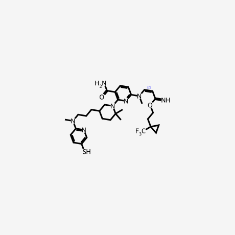 CN(/C=C\C(=N)OCCC1(C(F)(F)F)CC1)c1ccc(C(N)=O)c(N2CC(CCCN(C)c3ccc(S)cn3)CCC2(C)C)n1